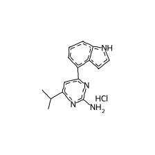 CC(C)c1cc(-c2cccc3[nH]ccc23)nc(N)n1.Cl